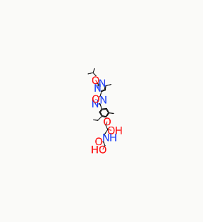 CCc1cc(-c2noc(-c3cc(C)nc(OCC(C)C)n3)n2)cc(C)c1OC[C@@H](O)CNC(=O)CO